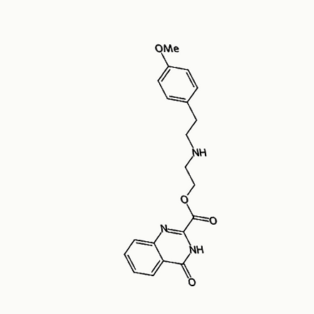 COc1ccc(CCNCCOC(=O)c2nc3ccccc3c(=O)[nH]2)cc1